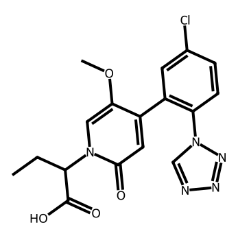 CCC(C(=O)O)n1cc(OC)c(-c2cc(Cl)ccc2-n2cnnn2)cc1=O